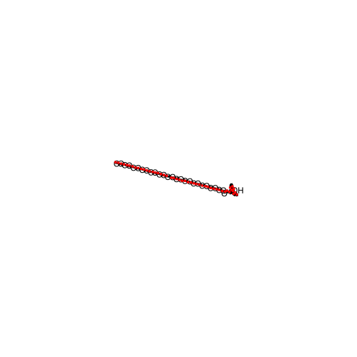 COCCOCCOCCOCCOCCOCCOCCOCCOCCOCCOCCOCCOCCOCCOCCOCCOCCOCCOCCOCCOCCOCCOCCOCCOCCOC(=O)CCc1cc(C(C)(C)CC(C)(C)C)c(O)c(C(C)(C)CC(C)(C)C)c1